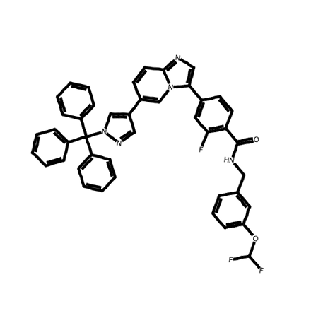 O=C(NCc1cccc(OC(F)F)c1)c1ccc(-c2cnc3ccc(-c4cnn(C(c5ccccc5)(c5ccccc5)c5ccccc5)c4)cn23)cc1F